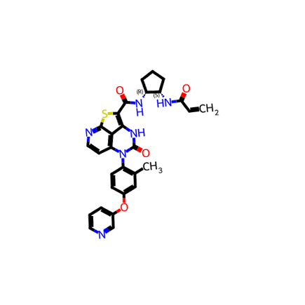 C=CC(=O)N[C@H]1CCC[C@H]1NC(=O)c1sc2nccc3c2c1NC(=O)N3c1ccc(Oc2cccnc2)cc1C